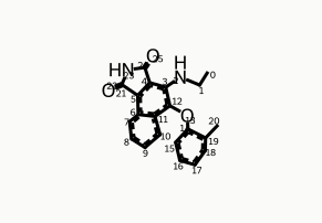 CCNc1c2c(c3ccccc3c1Oc1ccccc1C)C(=O)NC2=O